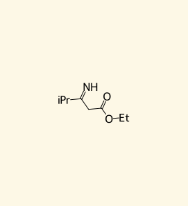 CCOC(=O)CC(=N)C(C)C